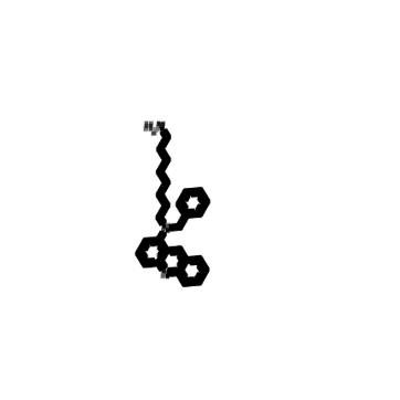 NCCCCCCCCN(Cc1ccccc1)c1cccc2nc3ccccc3cc12